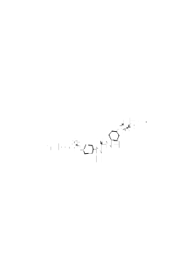 CCCCCCS(=O)(=O)Oc1ccc(NC(=O)Nc2ccc(OS(=O)(=O)CCCCCC)cc2)cc1